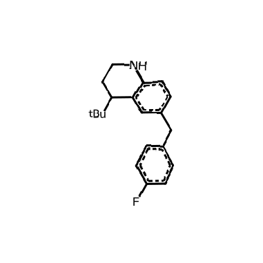 CC(C)(C)C1CCNc2ccc(Cc3ccc(F)cc3)cc21